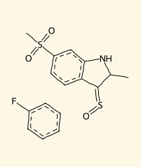 CC1Nc2cc(S(C)(=O)=O)ccc2C1=S=O.Fc1ccccc1